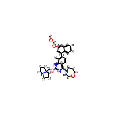 COCOc1cc(-c2ccc3c(N4CCCOCC4)nc(OCC45CCCN4CCC5)nc3c2C)c2ccccc2c1